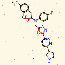 O=C(Cc1ccc(C(F)(F)F)cc1C(F)(F)F)N(Cc1nnc(-c2ccc(C3CCNC3)nn2)o1)c1ccc(F)cc1